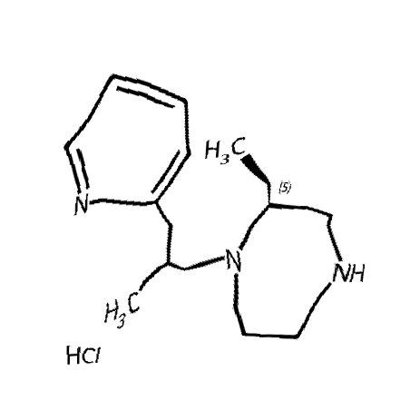 CC(c1ccccn1)N1CCNC[C@@H]1C.Cl